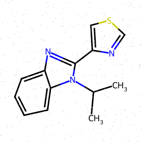 CC(C)n1c(-c2cscn2)nc2ccccc21